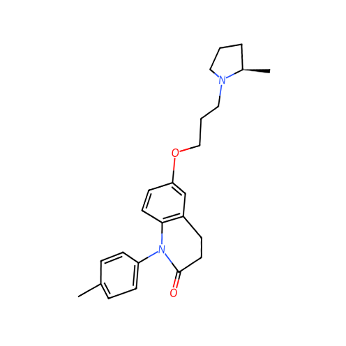 Cc1ccc(N2C(=O)CCc3cc(OCCCN4CCC[C@H]4C)ccc32)cc1